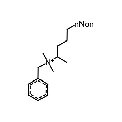 CCCCCCCCCCCCC(C)[N+](C)(C)Cc1ccccc1